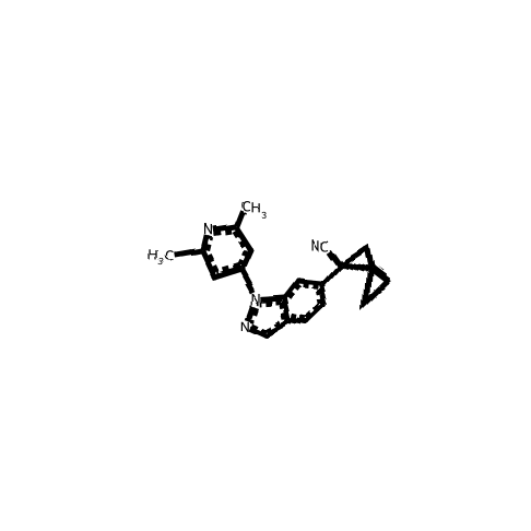 Cc1cc(-n2ncc3ccc(C4(C#N)CC45CC5)cc32)cc(C)n1